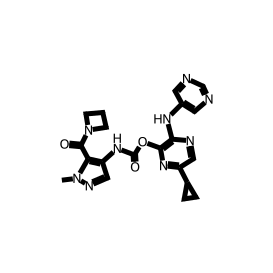 Cn1ncc(NC(=O)Oc2nc(C3CC3)cnc2Nc2cncnc2)c1C(=O)N1CCC1